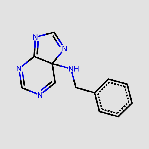 C1=NC=NC2=NC=NC12NCc1ccccc1